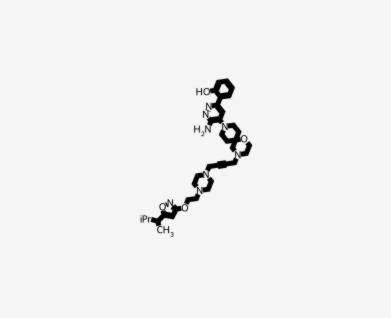 CC(C)C(C)c1cc(OCCN2CCN(CC#CCN3CCOC4(CCN(c5cc(-c6ccccc6O)nnc5N)CC4)C3)CC2)no1